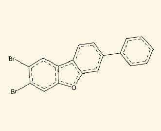 Brc1cc2oc3cc(-c4ccccc4)ccc3c2cc1Br